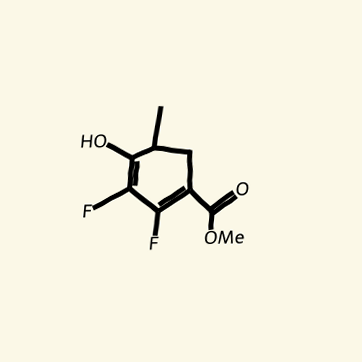 COC(=O)C1=C(F)C(F)=C(O)C(C)C1